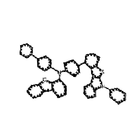 c1ccc(-c2ccc(N(c3ccc(-c4cccc5sc6c(c7ccccc7n6-c6ccccc6)c45)cc3)c3cccc4c3oc3ccccc34)cc2)cc1